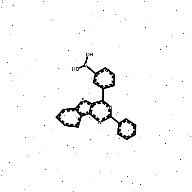 OB(O)c1cccc(-c2nc(-c3ccccc3)nc3c2sc2ccccc23)c1